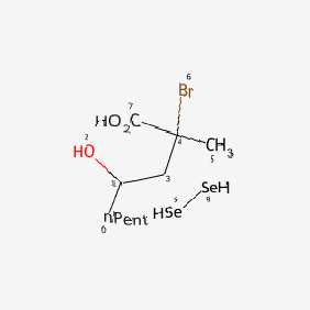 CCCCCC(O)CC(C)(Br)C(=O)O.[SeH][SeH]